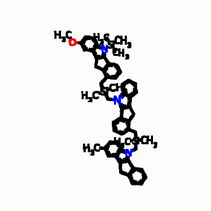 COc1ccc2c(c1)c1c(n2[Si](C)(C)C)-c2cccc(C[Si](C)(C)Cn3c4c(c5ccccc53)Cc3c(C[Si](C)(C)Cn5c6c(c7cc(C)ccc75)Cc5ccccc5-6)cccc3-4)c2C1